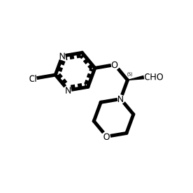 O=C[C@H](Oc1cnc(Cl)nc1)N1CCOCC1